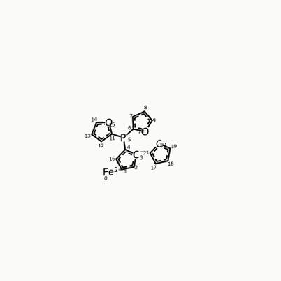 [Fe+2].c1c[cH-]c(P(c2ccco2)c2ccco2)c1.c1cc[cH-]c1